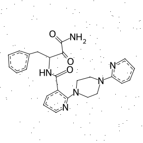 NC(=O)C(=O)C(Cc1ccccc1)NC(=O)c1cccnc1N1CCN(c2ccccn2)CC1